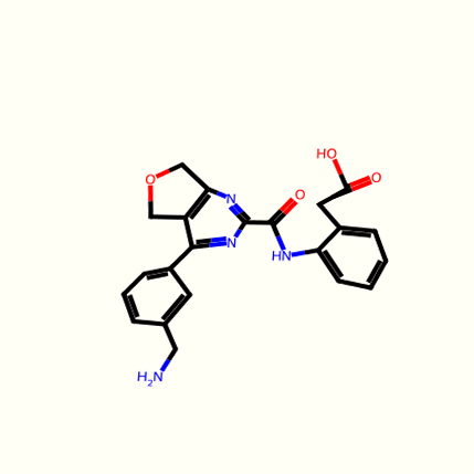 NCc1cccc(-c2nc(C(=O)Nc3ccccc3CC(=O)O)nc3c2COC3)c1